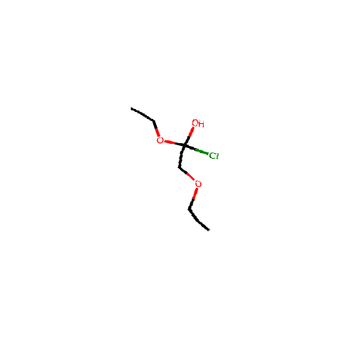 CCOCC(O)(Cl)OCC